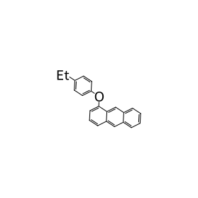 CCc1ccc(Oc2cccc3cc4ccccc4cc23)cc1